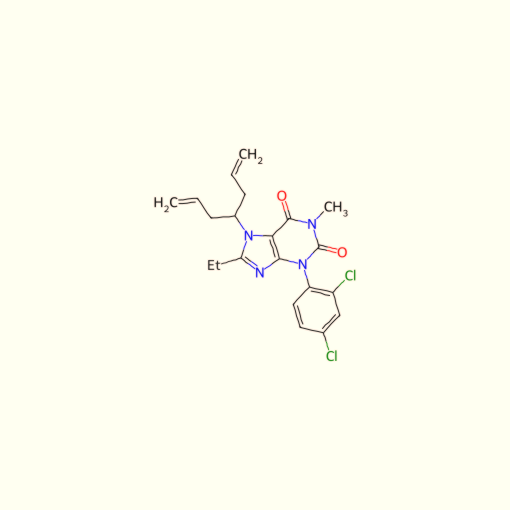 C=CCC(CC=C)n1c(CC)nc2c1c(=O)n(C)c(=O)n2-c1ccc(Cl)cc1Cl